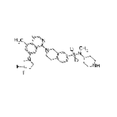 Cc1cc(N2CCC(F)(F)C2)cc2c(N3CCc4ccc(S(=O)(=O)N(C)C5CCNCC5)cc4C3)ncnc12